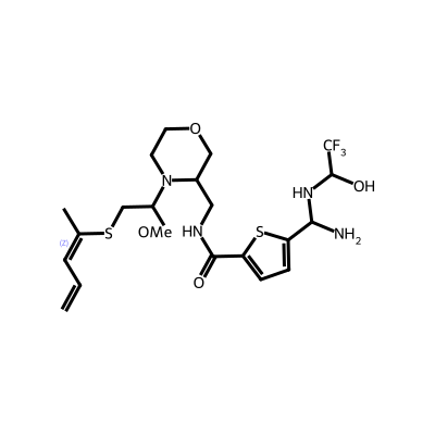 C=C/C=C(/C)SCC(OC)N1CCOCC1CNC(=O)c1ccc(C(N)NC(O)C(F)(F)F)s1